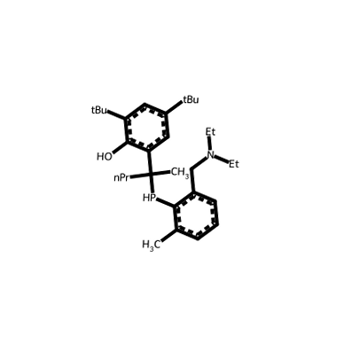 CCCC(C)(Pc1c(C)cccc1CN(CC)CC)c1cc(C(C)(C)C)cc(C(C)(C)C)c1O